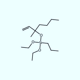 C=CC(C)(CCCC)O[Si](CCC)(OCC)OCC